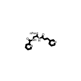 CCCCCC(CNC(=O)c1ccccn1)NC(=O)C=Cc1cccnc1